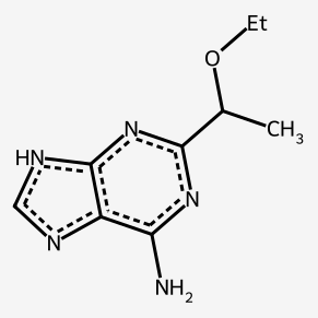 CCOC(C)c1nc(N)c2nc[nH]c2n1